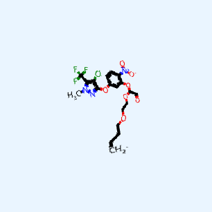 [CH2]CCCOCCOC(C=O)Oc1cc(Oc2nn(C)c(C(F)(F)F)c2Cl)ccc1[N+](=O)[O-]